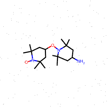 CC1(C)CC(ON2C(C)(C)CC(N)CC2(C)C)CC(C)(C)N1[O]